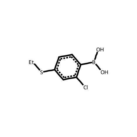 CCSc1ccc(B(O)O)c(Cl)c1